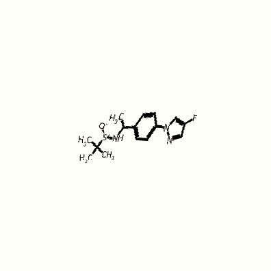 CC(N[S@+]([O-])C(C)(C)C)c1ccc(-n2cc(F)cn2)cc1